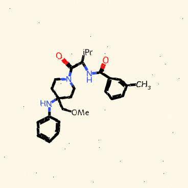 COCC1(Nc2ccccc2)CCN(C(=O)C(NC(=O)c2cccc(C)c2)C(C)C)CC1